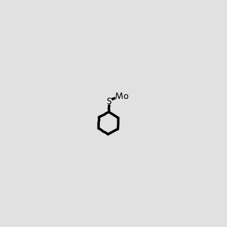 [Mo][S]C1CCCCC1